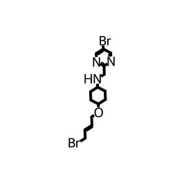 BrCC=CCOC1CCC(NCc2ncc(Br)cn2)CC1